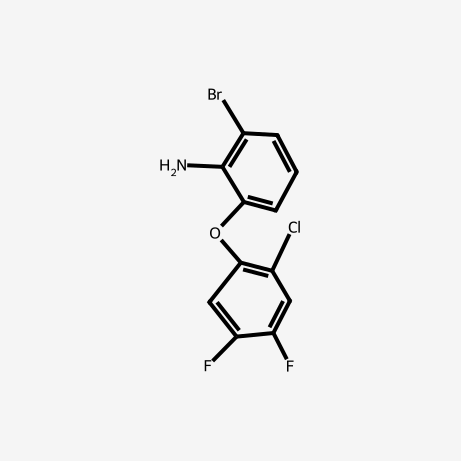 Nc1c(Br)cccc1Oc1cc(F)c(F)cc1Cl